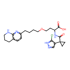 O=C(O)C(CCOCCCCc1ccc2c(n1)NCCC2)NC(=O)C1(c2cn[nH]c2Cl)CC1